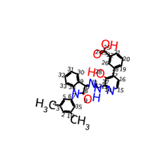 Cc1cc(C)cc(N2C(=O)/C(=N\Nc3nccc(-c4cccc(C(=O)O)c4)c3O)c3ccccc32)c1